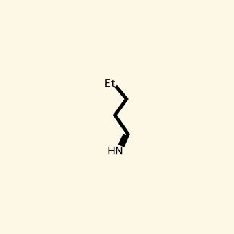 [CH2]CCCC=N